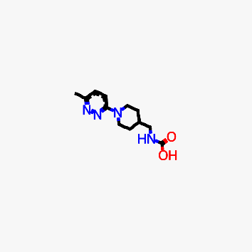 Cc1ccc(N2CCC(CNC(=O)O)CC2)nn1